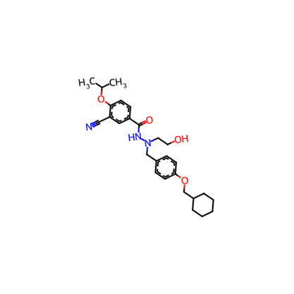 CC(C)Oc1ccc(C(=O)NN(CCO)Cc2ccc(OCC3CCCCC3)cc2)cc1C#N